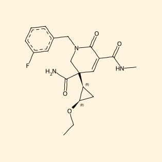 CCO[C@@H]1C[C@@H]1C1(C(N)=O)C=C(C(=O)NC)C(=O)N(Cc2cccc(F)c2)C1